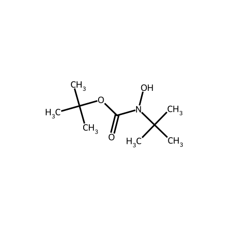 CC(C)(C)OC(=O)N(O)C(C)(C)C